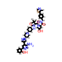 Cc1ncsc1-c1ccc(CNC(=O)[C@@H]2C[C@@H](O)CN2C(=O)[C@@H](NC(=O)[C@H]2CC[C@@H](N3CCC(n4cc(-c5cc(-c6ccccc6O)nnc5N)cn4)CC3)CC2)C(C)(C)C)cc1